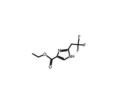 CCOC(=O)c1c[nH]c(CC(F)(F)F)n1